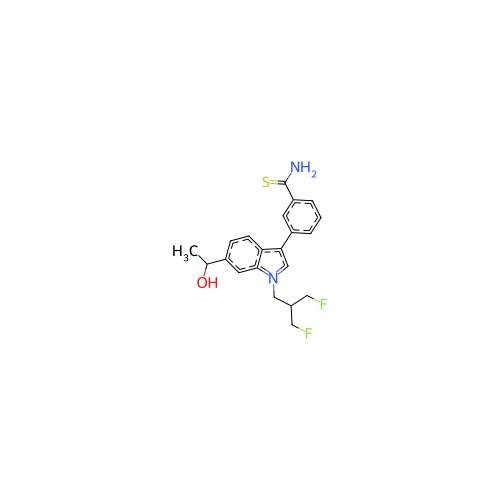 CC(O)c1ccc2c(-c3cccc(C(N)=S)c3)cn(CC(CF)CF)c2c1